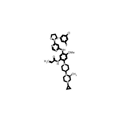 C=CC(=O)Nc1cc(Nc2cc(N3OCC[C@@H]3c3cc(F)cc(Cl)c3)ncn2)c(OC)cc1N1CCC(N2CCN(C3CC3)C[C@@H]2C)CC1